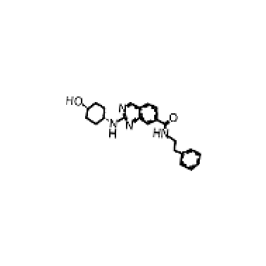 O=C(NCCc1ccccc1)c1ccc2cnc(N[C@H]3CC[C@H](O)CC3)nc2c1